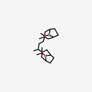 CC(CCC(C)N1C2CCC1CN(C)C2)C1CC2CCC(C1)N2C(C)C